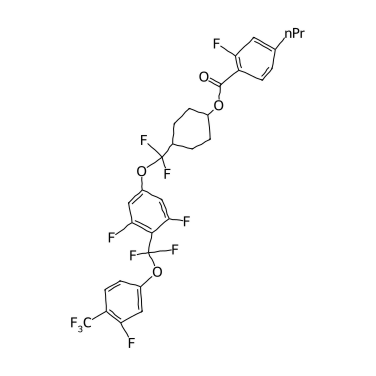 CCCc1ccc(C(=O)OC2CCC(C(F)(F)Oc3cc(F)c(C(F)(F)Oc4ccc(C(F)(F)F)c(F)c4)c(F)c3)CC2)c(F)c1